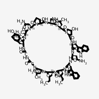 CCCC[C@H]1C(=O)N(C)[C@@H](CCCC)C(=O)N[C@@H](CC(C)C)C(=O)NCC(=O)NCC(=O)N[C@@H](Cc2ccc(O)cc2)C(=O)N(C)[C@@H](C)C(=O)N[C@@H](CC(N)=O)C(=O)N2CCC[C@H]2C(=O)N[C@@H](CN)C(=O)N[C@@H](CC(C)C)C(=O)N2C[C@H](O)C[C@H]2C(=O)N[C@@H](Cc2c[nH]c3ccccc23)C(=O)N[C@@H](CCN)C(=O)N[C@@H](Cc2c[nH]c3ccccc23)C(=O)N1C